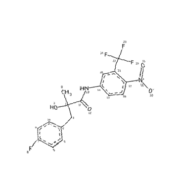 CC(O)(Cc1ccc(F)cc1)C(=O)Nc1ccc([N+](=O)[O-])c(C(F)(F)F)c1